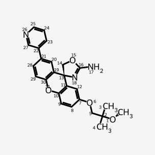 COC(C)(C)COc1ccc2c(c1)[C@]1(COC(N)=N1)c1cc(-c3cccnc3)ccc1O2